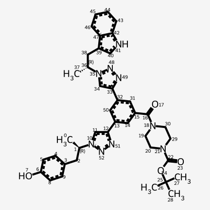 C[C@H](Cc1ccc(O)cc1)n1cc(-c2cc(C(=O)N3CCN(C(=O)OC(C)(C)C)CC3)cc(-c3cn([C@H](C)Cc4c[nH]c5ccccc45)nn3)c2)nn1